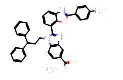 COC(=O)c1ccc2c(c1)nc(-c1cccc3nc(-c4ccc([N+](=O)[O-])cc4)oc13)n2CCC(c1ccccc1)c1ccccc1